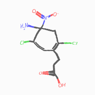 NC1([N+](=O)[O-])CC(Cl)=C(CC(=O)O)C=C1Cl